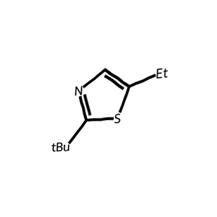 CCc1cnc(C(C)(C)C)s1